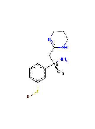 C[C@](N)(CC1=NCCCN1)c1cccc(SBr)c1